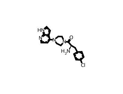 N[C@H](Cc1ccc(Cl)cc1)C(=O)N1CCN(c2ccnc3[nH]ccc23)CC1